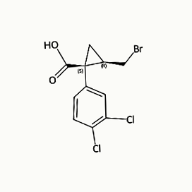 O=C(O)[C@@]1(c2ccc(Cl)c(Cl)c2)C[C@H]1CBr